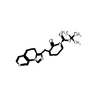 CC(C)(C)OC(=O)N1CCCC(Cc2ncn3c2CCc2ccncc2-3)C1=O